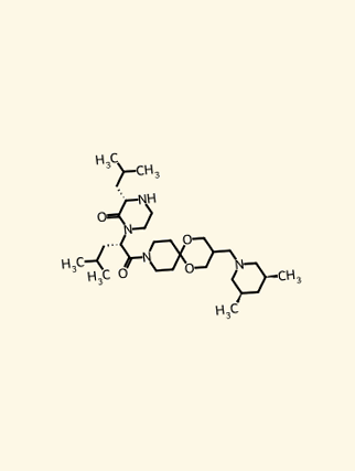 CC(C)C[C@@H]1NCCN([C@@H](CC(C)C)C(=O)N2CCC3(CC2)OCC(CN2C[C@H](C)C[C@H](C)C2)CO3)C1=O